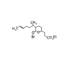 CC=CCCC(C)C1CCC(CCC(=O)OCC)OC1OBr